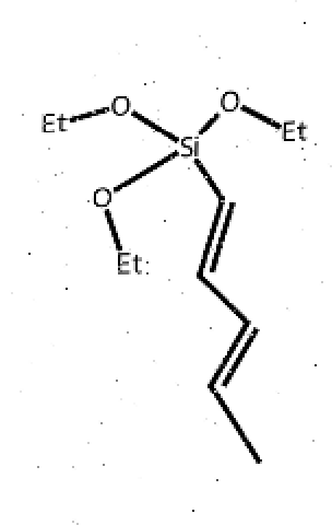 CC=CC=C[Si](OCC)(OCC)OCC